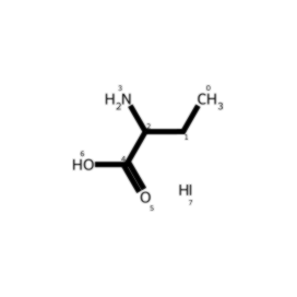 CCC(N)C(=O)O.I